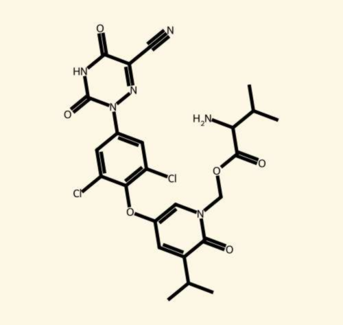 CC(C)c1cc(Oc2c(Cl)cc(-n3nc(C#N)c(=O)[nH]c3=O)cc2Cl)cn(COC(=O)C(N)C(C)C)c1=O